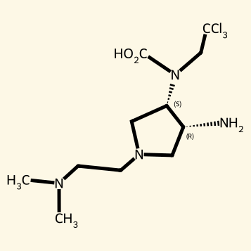 CN(C)CCN1C[C@@H](N)[C@@H](N(CC(Cl)(Cl)Cl)C(=O)O)C1